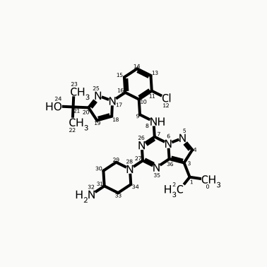 CC(C)c1cnn2c(NCc3c(Cl)cccc3-n3ccc(C(C)(C)O)n3)nc(N3CCC(N)CC3)nc12